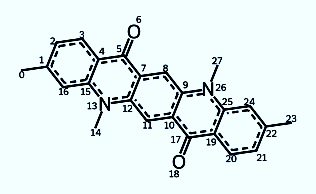 Cc1ccc2c(=O)c3cc4c(cc3n(C)c2c1)c(=O)c1ccc(C)cc1n4C